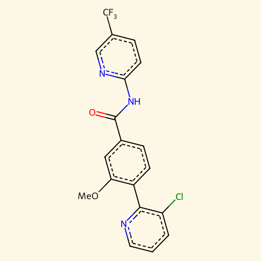 COc1cc(C(=O)Nc2ccc(C(F)(F)F)cn2)ccc1-c1ncccc1Cl